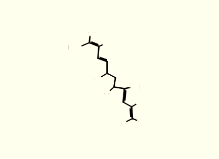 CC(C)=C(O)C=CC(O)CC(O)/C(C)=C/C(O)=C(C)C